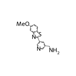 COc1ccc2sc(-c3cncc(CN)c3)nc2c1